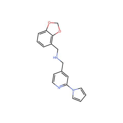 c1cc(CNCc2ccnc(-n3cccc3)c2)c2c(c1)OCO2